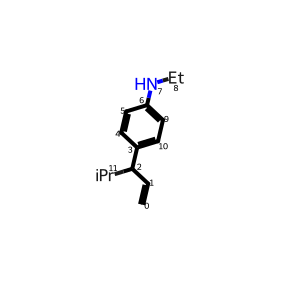 C=CC(c1ccc(NCC)cc1)C(C)C